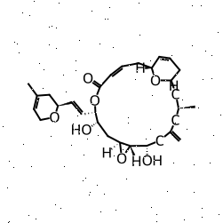 C=C1C[C@H](C)C[C@@H]2CC=C[C@@H](C/C=C\C(=O)O[C@@H](/C=C/[C@@H]3CC(C)=CCO3)[C@@H](O)C[C@@H]3O[C@H]3[C@@H](O)C1)O2